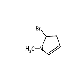 CN1C=CCC1Br